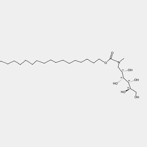 CCCCCCCCCCCCCCCCCCOC(=O)N(C)C[C@H](O)[C@@H](O)[C@H](O)[C@H](O)CO